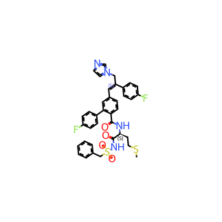 CSCC[C@H](NC(=O)c1ccc(/C=C(/Cn2ccnc2)c2ccc(F)cc2)cc1-c1ccc(F)cc1)C(=O)NS(=O)(=O)Cc1ccccc1